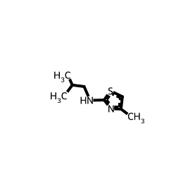 Cc1csc(NCC(C)C)n1